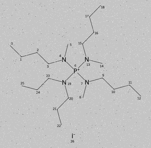 CCCCN(C)[P+](N(C)CCCC)(N(C)CCCC)N(CCC)CCC.[I-]